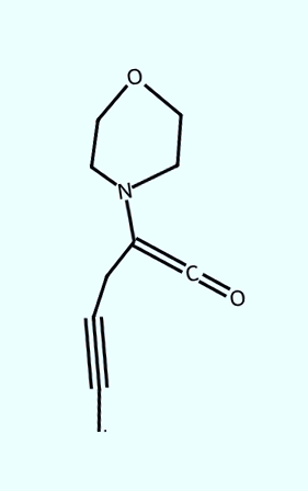 [CH2]C#CCC(=C=O)N1CCOCC1